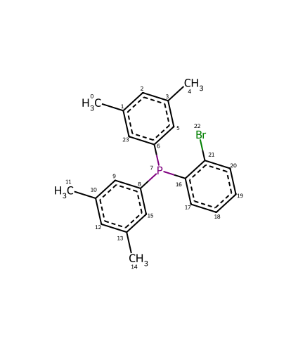 Cc1cc(C)cc(P(c2cc(C)cc(C)c2)c2ccccc2Br)c1